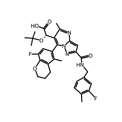 Cc1ccc(CNC(=O)c2cc3nc(C)c([C@H](OC(C)(C)C)C(=O)O)c(-c4cc(F)c5c(c4C)CCCO5)n3n2)cc1F